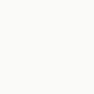 C=C(C)C(=O)OC([O])CCC